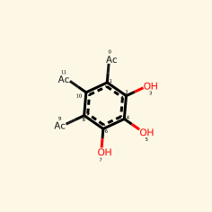 CC(=O)c1c(O)c(O)c(O)c(C(C)=O)c1C(C)=O